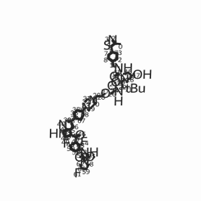 Cc1ncsc1-c1ccc(CNC(=O)[C@@H]2C[C@@H](O)CN2C(=O)[C@@H](NC(=O)COCCN2CCN(c3ccc(-c4cnc5[nH]cc(C(=O)c6c(F)ccc(NS(=O)(=O)N7CC[C@@H](F)C7)c6F)c5c4)cc3)CC2)C(C)(C)C)cc1